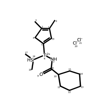 CC1=C(C)C[C]([Ti+2]([NH]C(=O)C2CCCCC2)[SiH](C)C)=C1.[Cl-].[Cl-]